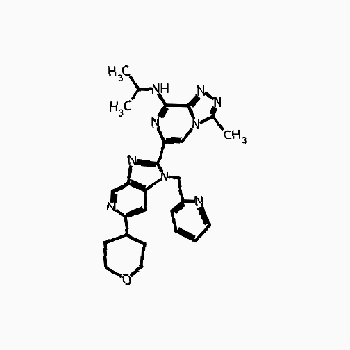 Cc1nnc2c(NC(C)C)nc(-c3nc4cnc(C5CCOCC5)cc4n3Cc3ccccn3)cn12